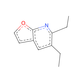 CCc1cc2ccoc2nc1CC